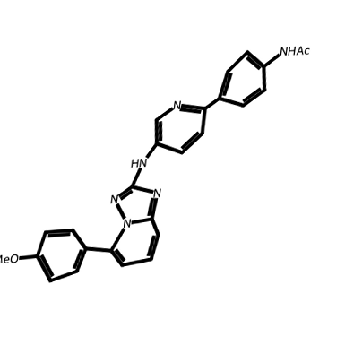 COc1ccc(-c2cccc3nc(Nc4ccc(-c5ccc(NC(C)=O)cc5)nc4)nn23)cc1